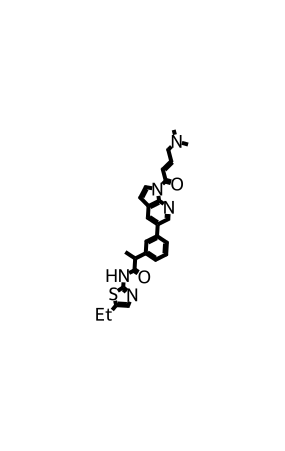 CCc1cnc(NC(=O)C(C)c2cccc(-c3cnc4c(ccn4C(=O)C=CCN(C)C)c3)c2)s1